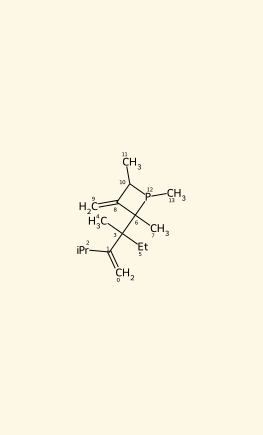 C=C(C(C)C)C(C)(CC)C1(C)C(=C)C(C)P1C